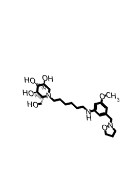 COc1cc(CN2CCCO2)cc(NCCCCCCN2C[C@H](O)[C@@H](O)[C@H](O)[C@H]2CO)c1